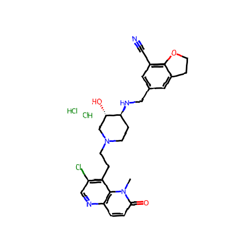 Cl.Cl.Cn1c(=O)ccc2ncc(Cl)c(CCN3CC[C@H](NCc4cc(C#N)c5c(c4)CCO5)[C@@H](O)C3)c21